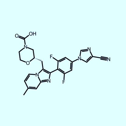 Cc1ccn2c(C[C@H]3CN(C(=O)O)CCO3)c(-c3c(F)cc(-n4cnc(C#N)c4)cc3F)nc2c1